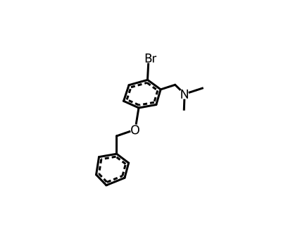 CN(C)Cc1cc(OCc2ccccc2)ccc1Br